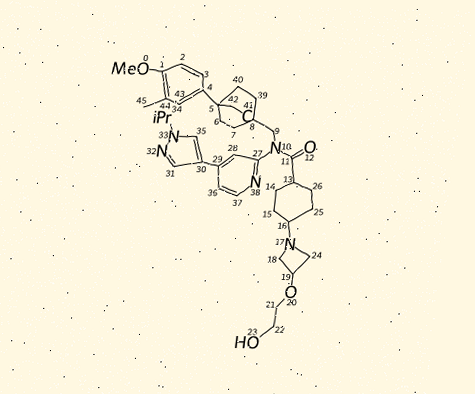 COc1ccc(C23CCC(CN(C(=O)C4CCC(N5CC(OCCO)C5)CC4)c4cc(-c5cnn(C(C)C)c5)ccn4)(CC2)CC3)cc1C